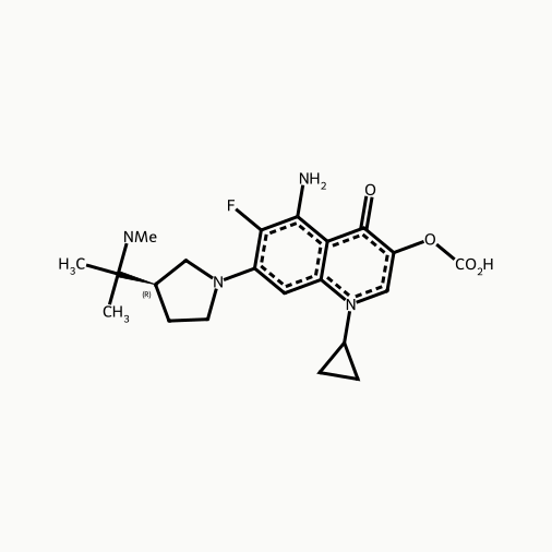 CNC(C)(C)[C@@H]1CCN(c2cc3c(c(N)c2F)c(=O)c(OC(=O)O)cn3C2CC2)C1